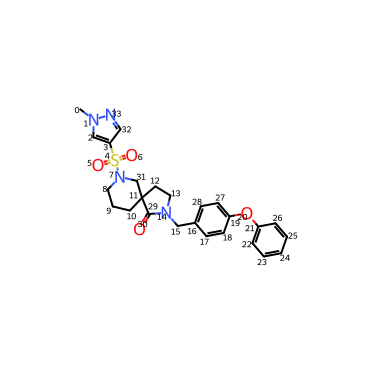 Cn1cc(S(=O)(=O)N2CCCC3(CCN(Cc4ccc(Oc5ccccc5)cc4)C3=O)C2)cn1